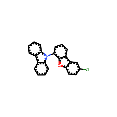 Clc1ccc2oc3c(-n4c5ccccc5c5ccccc54)cccc3c2c1